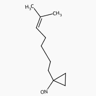 CC(C)=CCCCCC1(N=O)CC1